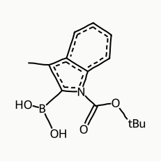 Cc1c(B(O)O)n(C(=O)OC(C)(C)C)c2ccccc12